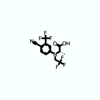 C[C@@H](C(=O)O)N(CC(F)(F)F)c1ccc(C#N)c(C(F)(F)F)c1